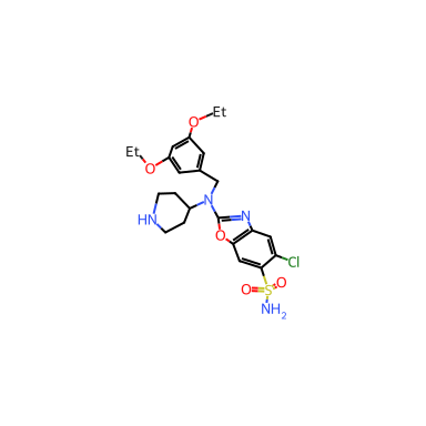 CCOc1cc(CN(c2nc3cc(Cl)c(S(N)(=O)=O)cc3o2)C2CCNCC2)cc(OCC)c1